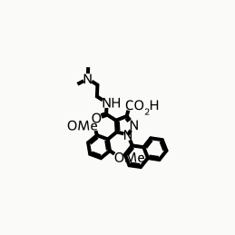 COc1cccc(OC)c1-c1c(C(=O)NCCN(C)C)c(C(=O)O)nn1-c1cccc2ccccc12